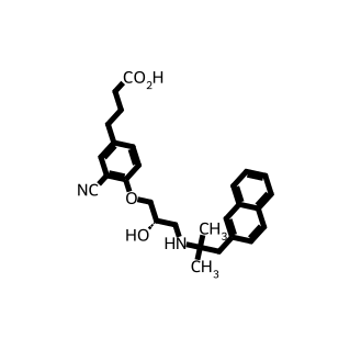 CC(C)(Cc1ccc2ccccc2c1)NC[C@H](O)COc1ccc(CCCC(=O)O)cc1C#N